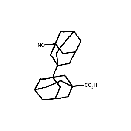 N#CC12CC3CC(C1)CC(C14CC5CC(CC(C(=O)O)(C5)C1)C4)(C3)C2